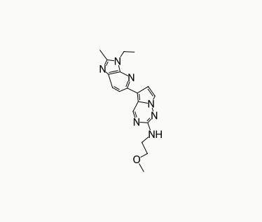 CCn1c(C)nc2ccc(-c3ccn4nc(NCCOC)ncc34)nc21